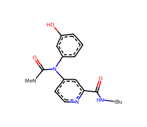 CNC(=O)N(c1cccc(O)c1)c1ccnc(C(=O)NC(C)(C)C)c1